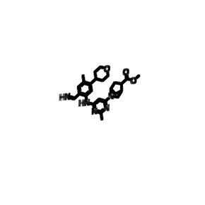 COC(=O)C1CC2CC1CN2c1cc(Nc2cc(C3CCOCC3)c(C)cc2C=N)nc(C)n1